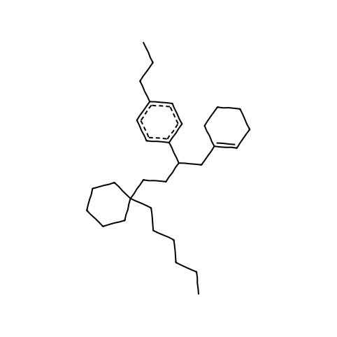 CCCCCCC1(CCC(CC2=CCCCC2)c2ccc(CCC)cc2)CCCCC1